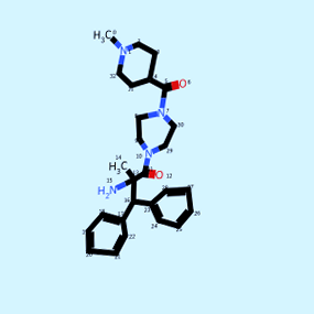 CN1CCC(C(=O)N2CCN(C(=O)C(C)(N)C(c3ccccc3)c3ccccc3)CC2)CC1